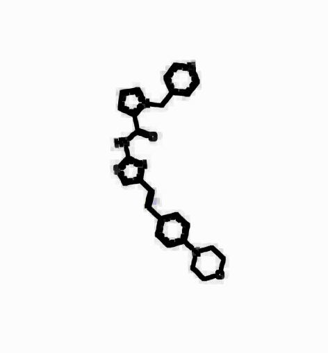 O=C(Nc1nc(/C=C/c2ccc(N3CCOCC3)cc2)cs1)c1cccn1Cc1ccncc1